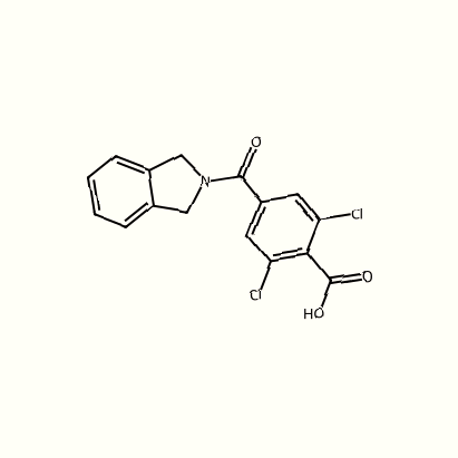 O=C(O)c1c(Cl)cc(C(=O)N2Cc3ccccc3C2)cc1Cl